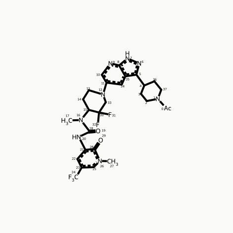 CC(=O)N1CCC(c2n[nH]c3ncc(N4CCC(N(C)C(=O)Nc5cc(C(F)(F)F)cn(C)c5=O)C(F)(F)C4)cc23)CC1